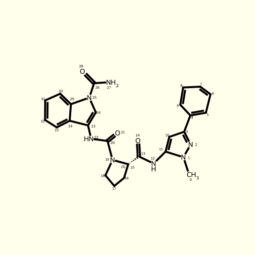 Cn1nc(-c2ccccc2)cc1NC(=O)[C@@H]1CCCN1C(=O)Nc1cn(C(N)=O)c2ccccc12